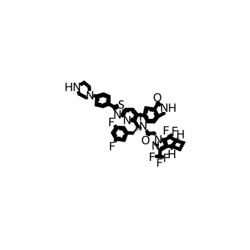 O=C(Cn1nc(C(F)(F)F)c2c1C(F)(F)[C@@H]1CC[C@H]21)N[C@@H](Cc1cc(F)cc(F)c1)c1nc2nc(-c3ccc(N4CCNCC4)cc3)sc2cc1-c1ccc2c(c1)C(=O)NC2